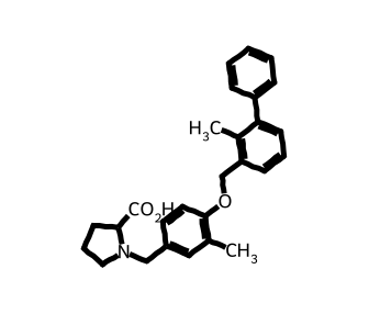 Cc1cc(CN2CCCC2C(=O)O)ccc1OCc1cccc(-c2ccccc2)c1C